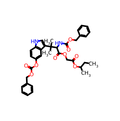 CCC(C)OC(=O)COC(=O)C(NC(=O)OCc1ccccc1)C(C)(C)c1c[nH]c2ccc(OC(=O)OCc3ccccc3)cc12